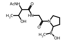 CB(O)C1CCCN1C(=O)CNC(=O)C(NC(C)=O)C(C)O